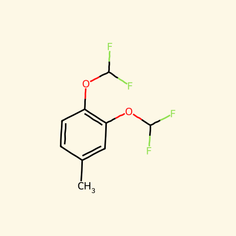 Cc1ccc(OC(F)F)c(OC(F)F)c1